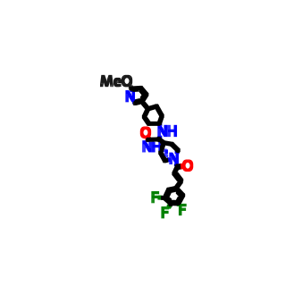 COc1ccc(C2CCC(NC(C(N)=O)C3CCN(C(=O)/C=C/c4cc(F)c(F)c(F)c4)CC3)CC2)cn1